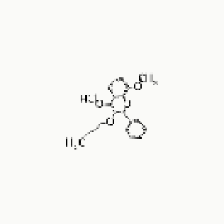 CCCCOc1c(-c2ccccc2)oc2c(OC)cccc2c1=O.Cl